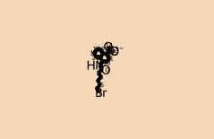 O=C(CCCCCBr)Nc1ccc([N+](=O)[O-])c2ccccc12